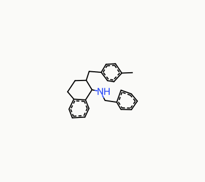 Cc1ccc(CC2CCc3ccccc3C2NCc2ccccc2)cc1